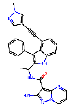 CC(NC(=O)c1c(N)nn2cccnc12)c1[nH]c2cccc(C#Cc3cnn(C)c3)c2c1-c1ccccc1